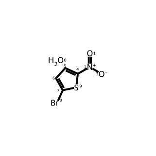 O.O=[N+]([O-])c1ccc(Br)s1